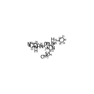 O=C(Cn1c(-c2ccc(Cl)s2)cnc(NCCc2ccccc2)c1=O)NCc1cc2cnccc2[nH]1